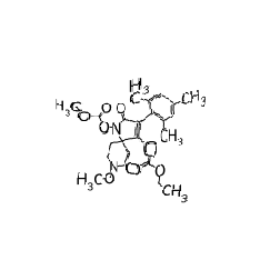 CCOC(=O)OC1=C(c2c(C)cc(C)cc2C)C(=O)N(OC(=O)OC)C12CCN(OC)CC2